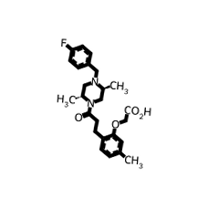 Cc1ccc(CCC(=O)N2C[C@H](C)N(Cc3ccc(F)cc3)C[C@H]2C)c(OCC(=O)O)c1